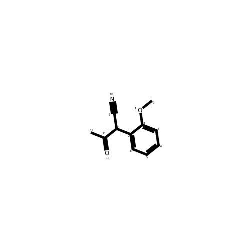 COc1ccccc1C(C#N)C(C)=O